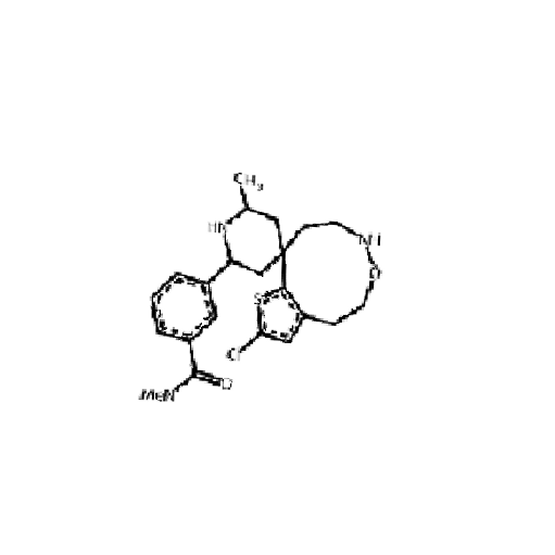 CNC(=O)c1cccc(C2CC3(CCNOCCc4cc(Cl)sc43)CC(C)N2)c1